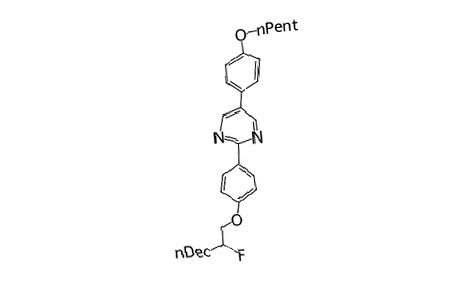 CCCCCCCCCCC(F)COc1ccc(-c2ncc(-c3ccc(OCCCCC)cc3)cn2)cc1